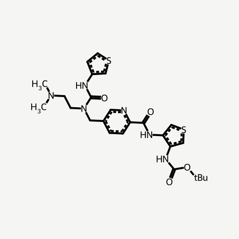 CN(C)CCN(Cc1ccc(C(=O)Nc2cscc2NC(=O)OC(C)(C)C)nc1)C(=O)Nc1ccsc1